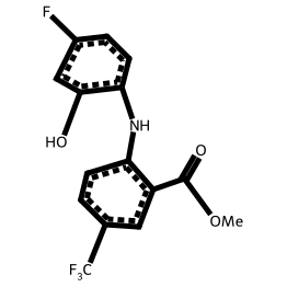 COC(=O)c1cc(C(F)(F)F)ccc1Nc1ccc(F)cc1O